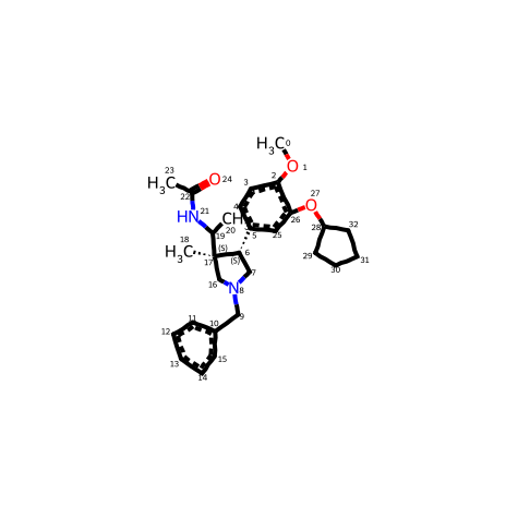 COc1ccc([C@@H]2CN(Cc3ccccc3)C[C@@]2(C)C(C)NC(C)=O)cc1OC1CCCC1